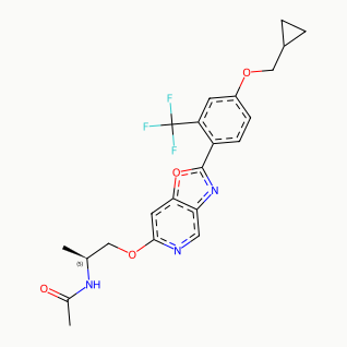 CC(=O)N[C@@H](C)COc1cc2oc(-c3ccc(OCC4CC4)cc3C(F)(F)F)nc2cn1